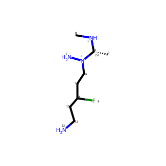 CN[C@H](C)N(N)CCC(F)CCN